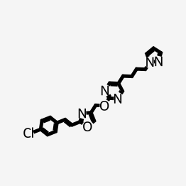 Clc1ccc(C=Cc2nc(COc3ncc(CCCCn4cccn4)cn3)co2)cc1